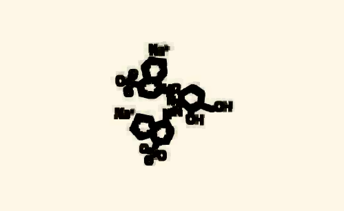 O=S(=O)([O-])c1ccc(N=NC2(N=Nc3ccc(S(=O)(=O)[O-])c4ccccc34)C(O)=C(CO)C=CC2O)c2ccccc12.[Na+].[Na+]